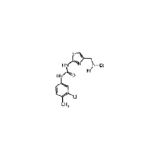 CCN(CC)Cc1csc(NC(=O)Nc2ccc(C)c(Cl)c2)n1